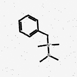 CN(C)[N+](C)(C)Cc1ccccc1